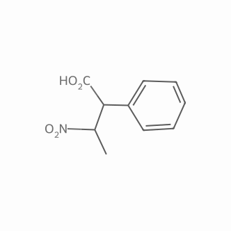 CC(C(C(=O)O)c1ccccc1)[N+](=O)[O-]